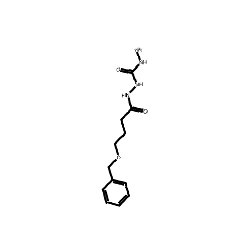 CCCNC(=O)NNC(=O)CCCOCc1ccccc1